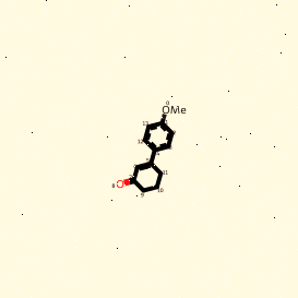 COc1ccc(C2=CC(=O)CCC2)cc1